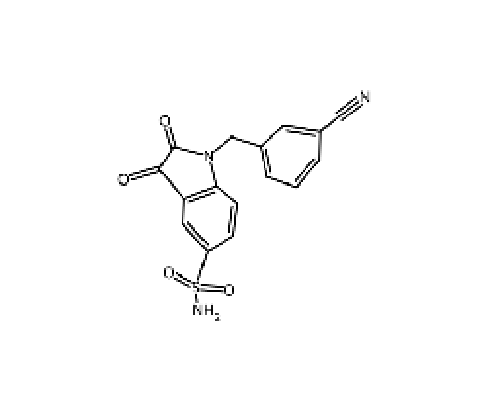 N#Cc1cccc(CN2C(=O)C(=O)c3cc(S(N)(=O)=O)ccc32)c1